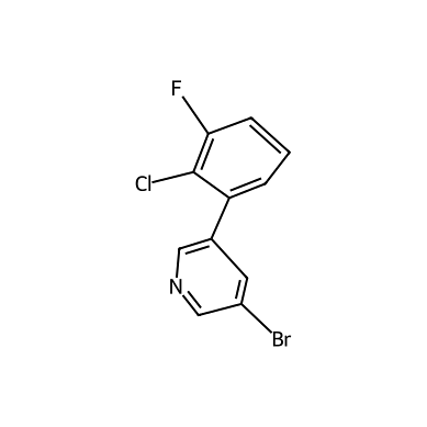 Fc1cccc(-c2cncc(Br)c2)c1Cl